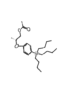 CCC[CH2][Sn]([CH2]CCC)([CH2]CCC)[c]1ccc(O[C@H](C)COC(C)=O)cc1